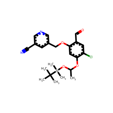 CC(Oc1cc(OCc2cncc(C#N)c2)c(C=O)cc1Cl)O[Si](C)(C)C(C)(C)C